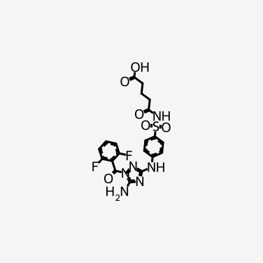 Nc1nc(Nc2ccc(S(=O)(=O)NC(=O)CCCC(=O)O)cc2)nn1C(=O)c1c(F)cccc1F